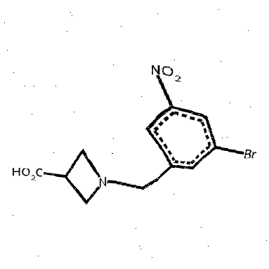 O=C(O)C1CN(Cc2cc(Br)cc([N+](=O)[O-])c2)C1